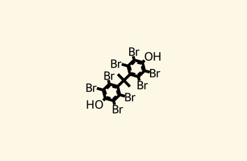 CC(C)(c1c(Br)c(Br)c(O)c(Br)c1Br)c1c(Br)c(Br)c(O)c(Br)c1Br